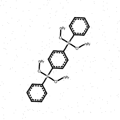 CCCO[Si](OCCC)(c1ccccc1)c1ccc([Si](OCCC)(OCCC)c2ccccc2)cc1